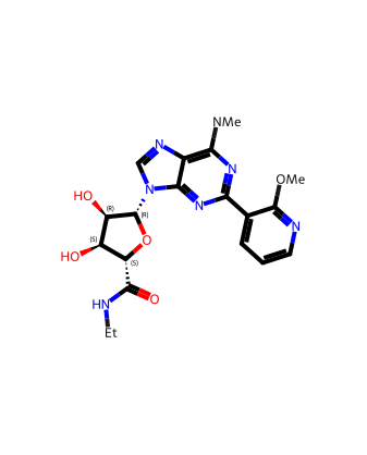 CCNC(=O)[C@H]1O[C@@H](n2cnc3c(NC)nc(-c4cccnc4OC)nc32)[C@H](O)[C@@H]1O